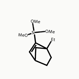 CCC12CCC(C=C1[Si](OC)(OC)OC)C2